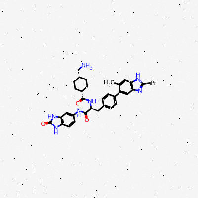 Cc1cc2[nH]c(C(C)C)nc2cc1-c1ccc(C[C@H](NC(=O)[C@H]2CC[C@H](CN)CC2)C(=O)Nc2ccc3[nH]c(=O)[nH]c3c2)cc1